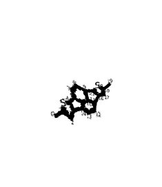 Cc1cc2c(s1)-c1ccc3c4c(ccc-2c14)-c1cc(C)sc1-3